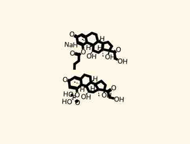 CCCC(=O)OC1=CC(=O)C=C2CC[C@@H]3[C@H]([C@@H](O)C[C@@]4(C)[C@H]3CC[C@]4(O)C(=O)CO)[C@]21C.C[C@@]12C(=CC(=O)C=C1OP(=O)(O)O)CC[C@@H]1[C@@H]2[C@@H](O)C[C@@]2(C)[C@H]1CC[C@]2(O)C(=O)CO.[NaH]